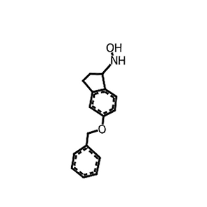 ONC1CCc2cc(OCc3ccccc3)ccc21